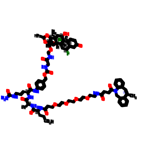 CCCC1O[C@@H]2C[C@H]3[C@@H]4C[C@H](F)C5=CC(=O)C=C[C@]5(C)[C@@]4(F)[C@@H](O)C[C@]3(C)[C@]2(C(=O)COCNC(=O)CNC(=O)OCc2ccc(NC(=O)[C@H](CCCNC(N)=O)NC(=O)[C@@H](NC(=O)[C@H](CCC(=O)O)NC(=O)CCOCCOCCOCCOCCNC(=O)CCC(=O)N3Cc4ccccc4/C(C)=C\c4ccccc43)C(C)C)cc2)O1